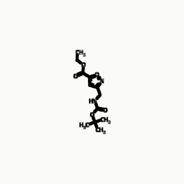 CCOC(=O)c1cc(CNC(=O)OC(C)(C)C)no1